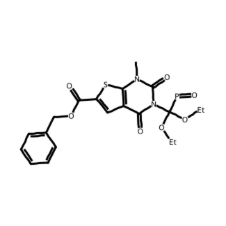 CCOC(OCC)(P=O)n1c(=O)c2cc(C(=O)OCc3ccccc3)sc2n(C)c1=O